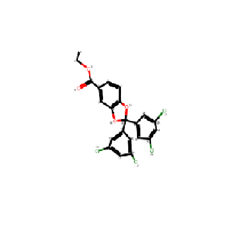 CCOC(=O)c1ccc2c(c1)OC(c1cc(Cl)cc(Cl)c1)(c1cc(Cl)cc(Cl)c1)O2